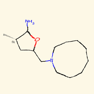 C[C@H]1CC(CN2CCCCCCCC2)OC1N